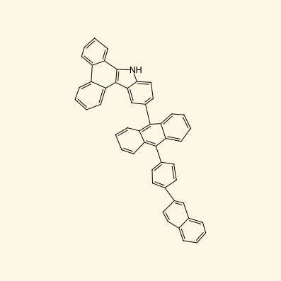 c1ccc2cc(-c3ccc(-c4c5ccccc5c(-c5ccc6[nH]c7c8ccccc8c8ccccc8c7c6c5)c5ccccc45)cc3)ccc2c1